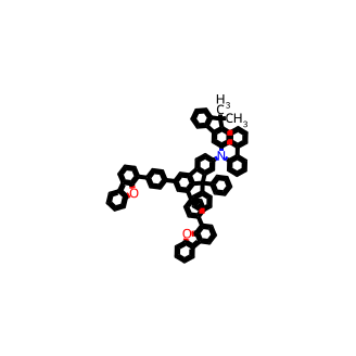 CC1(C)c2ccccc2-c2cc(N(c3ccc4c(c3)C(c3ccccc3)(c3ccccc3)c3c(-c5ccc(-c6cccc7c6oc6ccccc67)cc5)cc(-c5ccc(-c6cccc7c6oc6ccccc67)cc5)cc3-4)c3ccccc3-c3ccccc3)ccc21